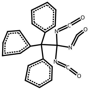 O=C=NC(N=C=O)(N=C=O)C(c1ccccc1)(c1ccccc1)c1ccccc1